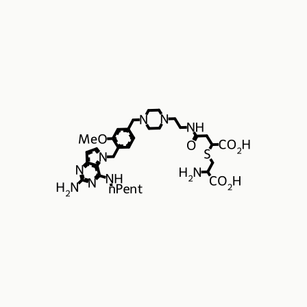 CCCCCNc1nc(N)nc2ccn(Cc3ccc(CN4CCN(CCNC(=O)CC(SCC(N)C(=O)O)C(=O)O)CC4)cc3OC)c12